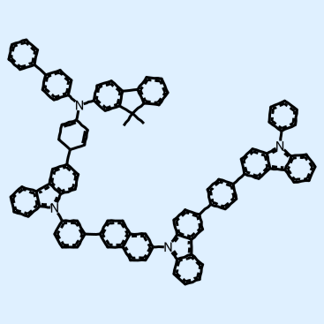 CC1(C)c2ccccc2-c2ccc(N(C3=CCC(c4ccc5c(c4)c4ccccc4n5-c4cccc(-c5ccc6cc(-n7c8ccccc8c8cc(-c9ccc(-c%10ccc%11c(c%10)c%10ccccc%10n%11-c%10ccccc%10)cc9)ccc87)ccc6c5)c4)C=C3)c3ccc(-c4ccccc4)cc3)cc21